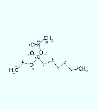 [CH2]CCCCC[Si](OC)(OCC)OCC